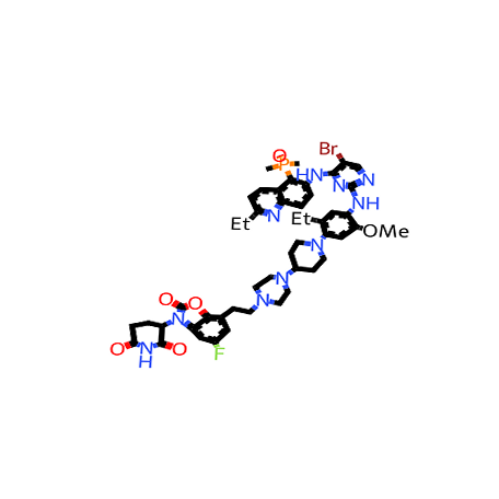 CCc1ccc2c(P(C)(C)=O)c(Nc3nc(Nc4cc(CC)c(N5CCC(N6CCN(CCc7cc(F)cc8c7oc(=O)n8C7CCC(=O)NC7=O)CC6)CC5)cc4OC)ncc3Br)ccc2n1